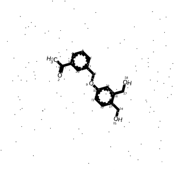 CC(=O)c1cccc(COc2ccc(CO)c(CO)c2)c1